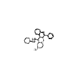 CC(C)N1CCN(Cc2c(-c3ccccc3)nc3ccccc3c2C(=O)NNC2CCCCC2)CC1